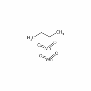 CCCC.[O]=[Mn]=[O].[O]=[Mn]=[O]